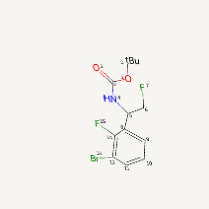 CC(C)(C)OC(=O)NC(CF)c1cccc(Br)c1F